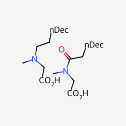 CCCCCCCCCCCC(=O)N(C)CC(=O)O.CCCCCCCCCCCCN(C)CC(=O)O